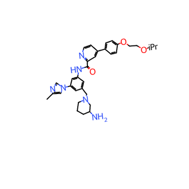 Cc1cn(-c2cc(CN3CCC[C@H](N)C3)cc(NC(=O)c3cc(-c4ccc(OCCOC(C)C)cc4)ccn3)c2)cn1